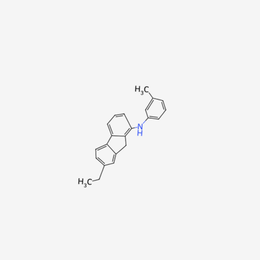 CCc1ccc2c(c1)Cc1c(Nc3cccc(C)c3)cccc1-2